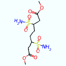 COC(=O)CC(CCC(CC(=O)OC)S(N)(=O)=O)S(N)(=O)=O